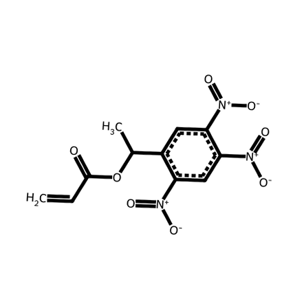 C=CC(=O)OC(C)c1cc([N+](=O)[O-])c([N+](=O)[O-])cc1[N+](=O)[O-]